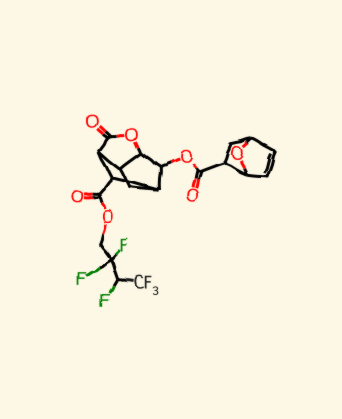 O=C(OC1C2CC3C1OC(=O)C3C2C(=O)OCC(F)(F)C(F)C(F)(F)F)C1CC2C=CC1O2